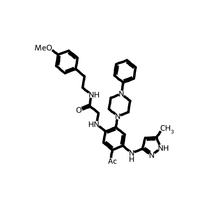 COc1ccc(CCNC(=O)CNc2cc(C(C)=O)c(Nc3cc(C)[nH]n3)cc2N2CCN(c3ccccc3)CC2)cc1